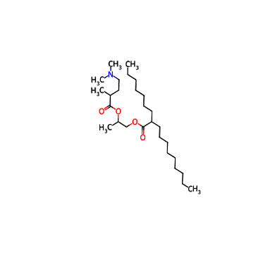 CCCCCCCCCC(CCCCCCC)C(=O)OCC(C)OC(=O)C(C)CCN(C)C